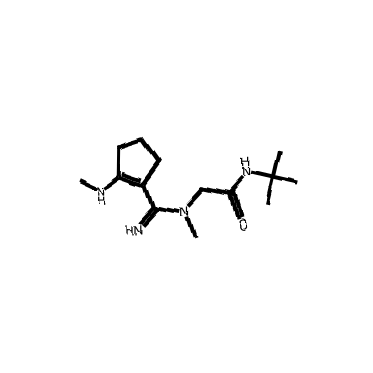 CNC1=C(C(=N)N(C)CC(=O)NC(C)(C)C)CCC1